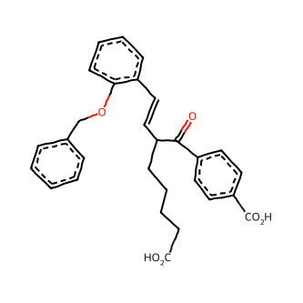 O=C(O)CCCCC(C=Cc1ccccc1OCc1ccccc1)C(=O)c1ccc(C(=O)O)cc1